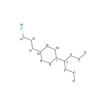 CCCC(CCC)C1CCC(CCCF)CC1